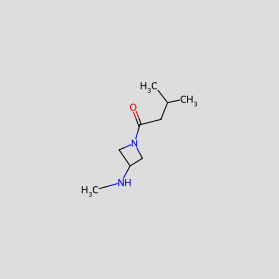 CNC1CN(C(=O)CC(C)C)C1